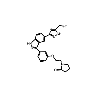 CC(C)Cc1nc(-c2ccc3[nH]nc(-c4cccc(OCCN5CCCC5=O)c4)c3c2)n[nH]1